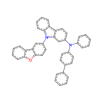 c1ccc(-c2ccc(N(c3ccccc3)c3ccc4c5ccccc5n(-c5ccc6oc7ccccc7c6c5)c4c3)cc2)cc1